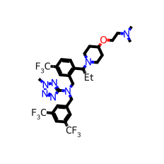 CCC(c1ccc(C(F)(F)F)cc1CN(Cc1cc(C(F)(F)F)cc(C(F)(F)F)c1)c1nnn(C)n1)N1CCC(OCCN(C)C)CC1